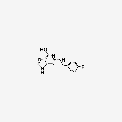 Oc1nc(NCc2ccc(F)cc2)nc2[nH]cnc12